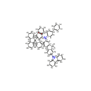 CC1(C)c2cc(N(c3ccc(-c4ccccc4)cc3-c3ccccc3)c3cccc4c3-c3ccccc3C43c4ccccc4-c4ccccc43)ccc2-c2ccc(-n3c4ccccc4c4ccccc43)cc21